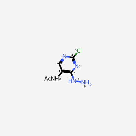 CC(=O)Nc1cnc(Cl)nc1NN